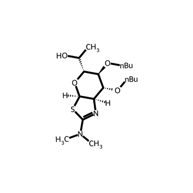 CCCCO[C@@H]1[C@H]2N=C(N(C)C)S[C@H]2O[C@H](C(C)O)[C@H]1OCCCC